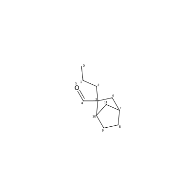 CCCC1(C=O)CC2CCC1C2